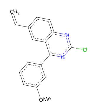 C=Cc1ccc2nc(Cl)nc(-c3cccc(OC)c3)c2c1